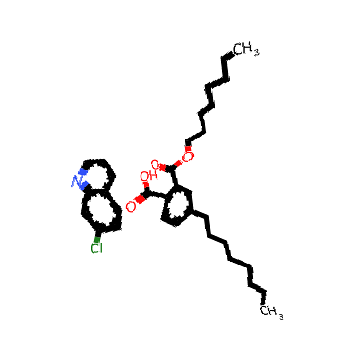 CCCCCCCCOC(=O)c1cc(CCCCCCCC)ccc1C(=O)O.Clc1ccc2cccnc2c1